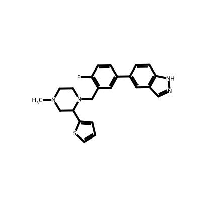 CN1CCN(Cc2cc(-c3ccc4[nH]ncc4c3)ccc2F)C(c2cccs2)C1